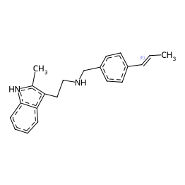 C/C=C/c1ccc(CNCCc2c(C)[nH]c3ccccc23)cc1